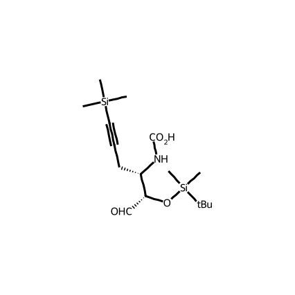 CC(C)(C)[Si](C)(C)O[C@H](C=O)[C@H](CC#C[Si](C)(C)C)NC(=O)O